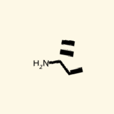 C=C.C=C.C=CCN